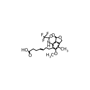 COc1c(C)c2c(c(NC(=O)C(F)(F)F)c1CC/C=C/CCC(=O)O)C(=O)OC2